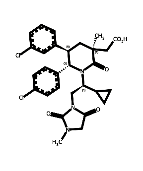 CN1CC(=O)N(C[C@H](C2CC2)N2C(=O)[C@](C)(CC(=O)O)C[C@H](c3cccc(Cl)c3)[C@H]2c2ccc(Cl)cc2)C1=O